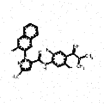 Cc1cc(C(=O)Nc2cc(F)c(C(=N)N(C)C)cc2F)n(-c2cc3ccccc3cc2F)n1